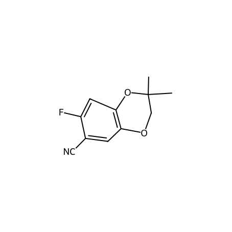 CC1(C)COc2cc(C#N)c(F)cc2O1